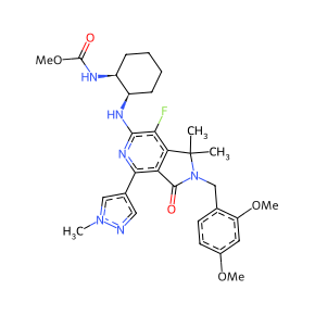 COC(=O)N[C@H]1CCCC[C@H]1Nc1nc(-c2cnn(C)c2)c2c(c1F)C(C)(C)N(Cc1ccc(OC)cc1OC)C2=O